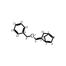 C1=C2CC(=C1)C(=COCc1ccccc1)C2